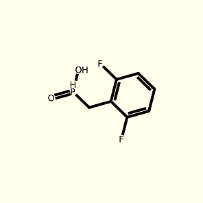 O=[PH](O)Cc1c(F)cccc1F